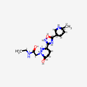 CCNC(=O)Cn1nc(-c2noc(-c3ccc(C)nc3)n2)ccc1=O